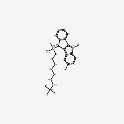 Cc1ccc2c(c1)c1c(n2C)-c2ccccc2C1[Si](C)(Cl)CCCCCCOC(C)(C)C